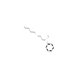 CCN(CCOCCCCBr)c1ccccc1